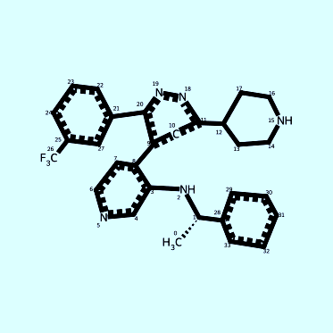 C[C@H](Nc1cnccc1-c1cc(C2CCNCC2)nnc1-c1cccc(C(F)(F)F)c1)c1ccccc1